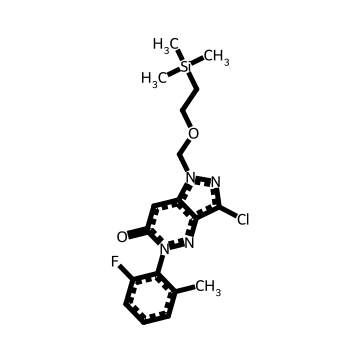 Cc1cccc(F)c1-n1nc2c(Cl)nn(COCC[Si](C)(C)C)c2cc1=O